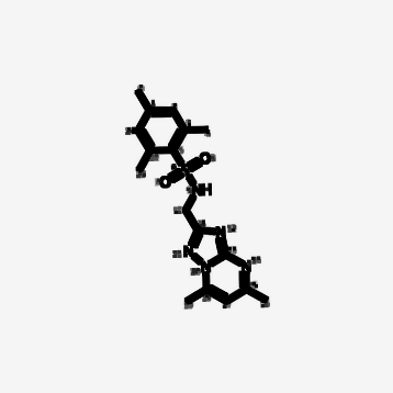 Cc1cc(C)c(S(=O)(=O)NCc2nc3nc(C)cc(C)n3n2)c(C)c1